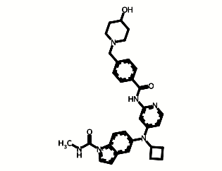 CNC(=O)n1ccc2cc(N(c3ccnc(NC(=O)c4ccc(CN5CCC(O)CC5)cc4)c3)C3CCC3)ccc21